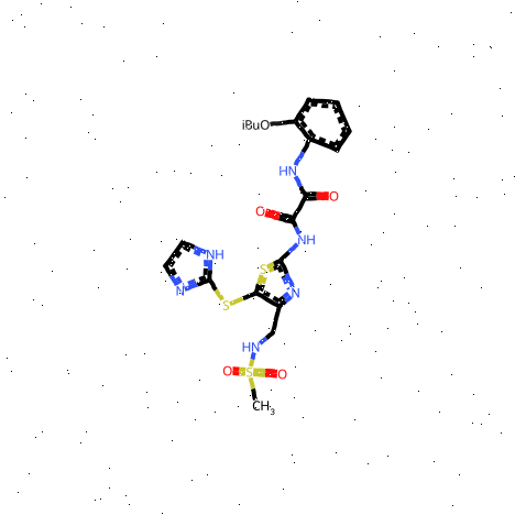 CC(C)COc1ccccc1NC(=O)C(=O)Nc1nc(CNS(C)(=O)=O)c(Sc2ncc[nH]2)s1